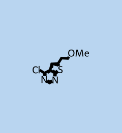 COCCc1cc2c(Cl)ncnc2s1